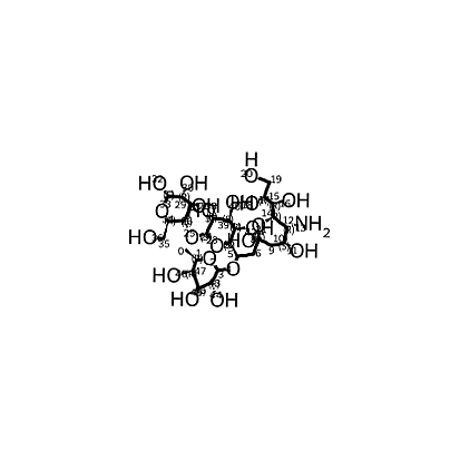 C[C@H]1OC(OC(C[C@]2(O)C[C@H](O)[C@@H](N)[C@H]([C@H](O)[C@H](O)CO)O2)[C@H]2O[C@@H](O[C@H]3[C@H](O)[C@@H](O)[C@@H](O)O[C@@H]3CO)[C@H](O)[C@@H](O)[C@H]2O)[C@H](O)[C@@H](O)[C@H]1O